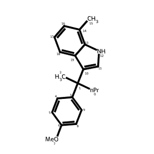 CCCC(C)(c1ccc(OC)cc1)c1c[nH]c2c(C)cccc12